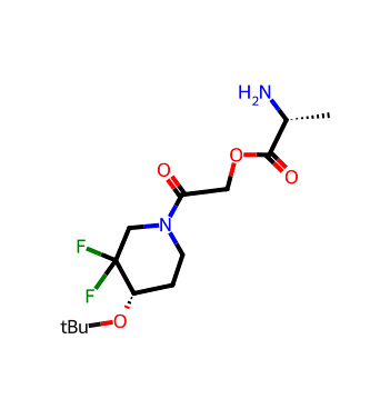 C[C@@H](N)C(=O)OCC(=O)N1CC[C@H](OC(C)(C)C)C(F)(F)C1